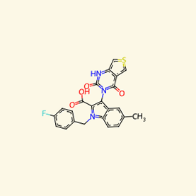 Cc1ccc2c(c1)c(-n1c(=O)[nH]c3cscc3c1=O)c(C(=O)O)n2Cc1ccc(F)cc1